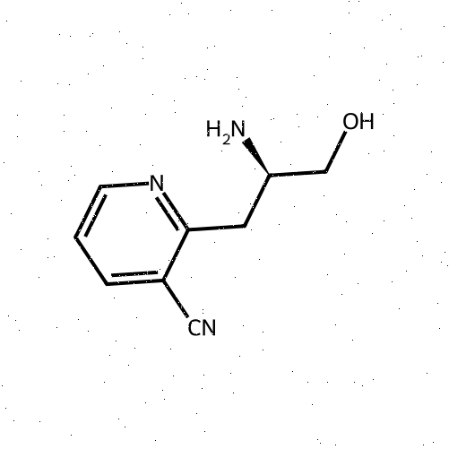 N#Cc1cccnc1C[C@@H](N)CO